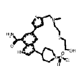 CCS(=O)(=O)N1CCC(c2c[nH]c3c(C(N)=O)cc(-c4csc(CN(C)CCSCCO)c4)cc23)CC1